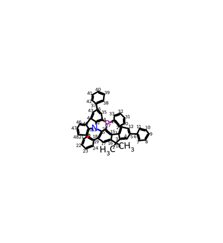 CC1(C)c2cc(-c3ccccc3)ccc2-c2c1cc(-c1ccccc1)c1c2P(c2ccccc2)c2cc(-c3ccccc3)cc3c4ccccc4n-1c23